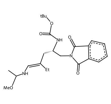 CC/C(=C\NC(C)OC)C[C@@H](CN1C(=O)c2ccccc2C1=O)NC(=O)OC(C)(C)C